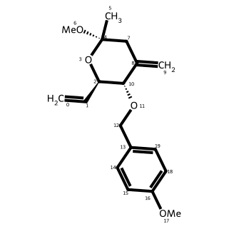 C=C[C@H]1O[C@](C)(OC)CC(=C)[C@@H]1OCc1ccc(OC)cc1